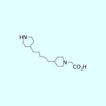 O=C(O)CN1CCC(CCCCCC2CCNCC2)CC1